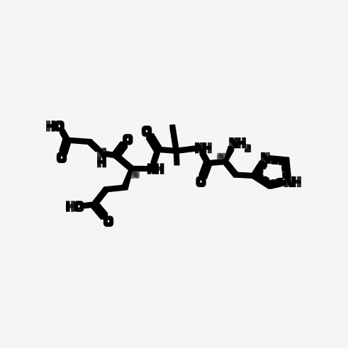 CC(C)(NC(=O)[C@@H](N)Cc1c[nH]cn1)C(=O)N[C@@H](CCC(=O)O)C(=O)NCC(=O)O